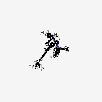 CCCCC[N+]1=C(/C=C/C2=C(c3ccc(CCCCC(=O)CCCOCCOCCNC(=O)OC(C)(C)C)cc3)C(=C/C=C3/N(CCCCS(=O)(=O)O)c4ccc(S(=O)(=O)O)cc4C3(C)C)/CCC2)C(C)(C)c2cc(C)ccc21